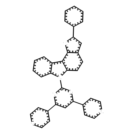 c1ccc(-c2cc3ccc4c(c5ccccc5n4-c4nc(-c5ccncc5)cc(-c5ccncc5)n4)c3o2)cc1